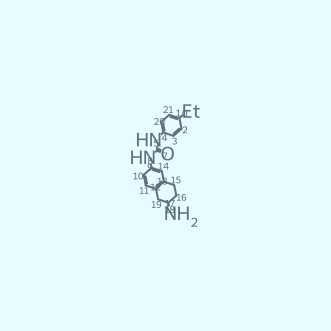 CCc1ccc(NC(=O)Nc2ccc3c(c2)CCC(N)C3)cc1